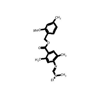 CCN(C)/C=N/c1cc(C)c(C(=O)OCc2ccc(C)cc2OC)cc1C